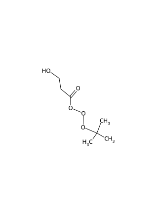 CC(C)(C)OOOC(=O)CCO